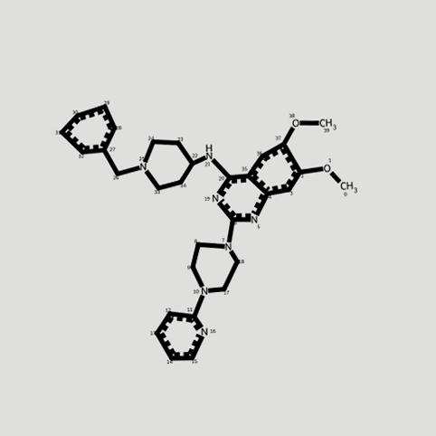 COc1cc2nc(N3CCN(c4ccccn4)CC3)nc(NC3CCN(Cc4ccccc4)CC3)c2cc1OC